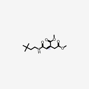 COC(=O)C/C(=C/C(=O)NCCC(C)(C)C)C(=O)OC